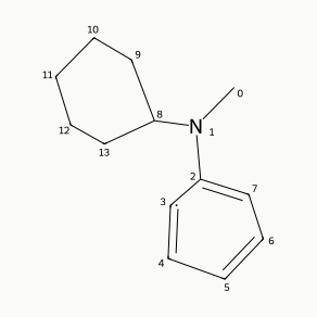 CN(c1[c]cccc1)C1CCCCC1